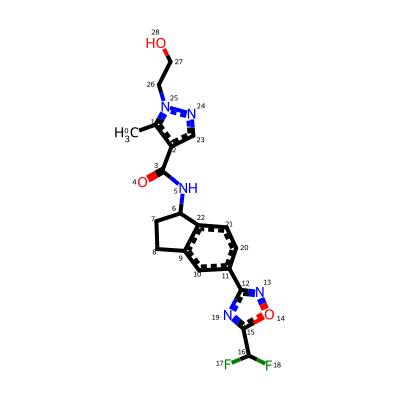 Cc1c(C(=O)NC2CCc3cc(-c4noc(C(F)F)n4)ccc32)cnn1CCO